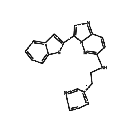 c1cncc(CCNc2ccc3ncc(-c4cc5ccccc5s4)n3n2)c1